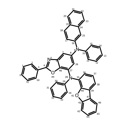 c1ccc(-c2nc3cc(N(c4ccccc4)c4ccc5ccccc5c4)cc(N(c4ccccc4)c4cccc5c4oc4ccccc45)c3o2)cc1